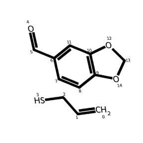 C=CCS.O=Cc1ccc2c(c1)OCO2